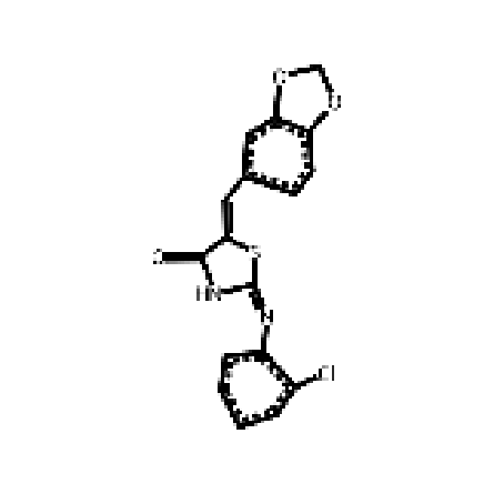 O=C1N/C(=N\c2ccccc2Cl)S/C1=C\c1ccc2c(c1)OCO2